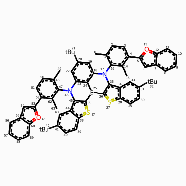 Cc1ccc(-c2cc3ccccc3o2)c(C)c1N1c2cc(C(C)(C)C)cc3c2B(c2sc4ccc(C(C)(C)C)cc4c21)c1sc2ccc(C(C)(C)C)cc2c1N3c1c(C)ccc(-c2cc3ccccc3o2)c1C